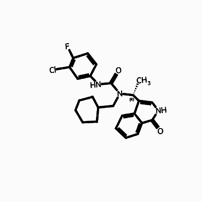 C[C@H](c1c[nH]c(=O)c2ccccc12)N(CC1CCCCC1)C(=O)Nc1ccc(F)c(Cl)c1